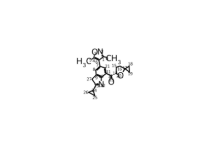 Cc1noc(C)c1-c1cc2c(c(C(=O)[C@@H]3CCC4(CC4)O3)c1)N=C(C1CC1)C2